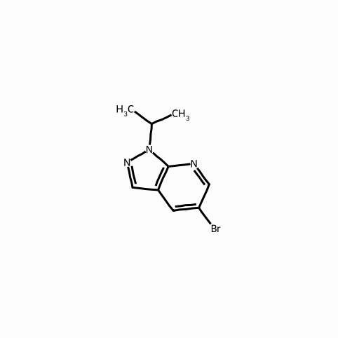 CC(C)n1ncc2cc(Br)cnc21